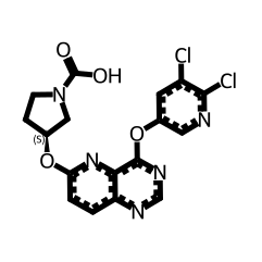 O=C(O)N1CC[C@H](Oc2ccc3ncnc(Oc4cnc(Cl)c(Cl)c4)c3n2)C1